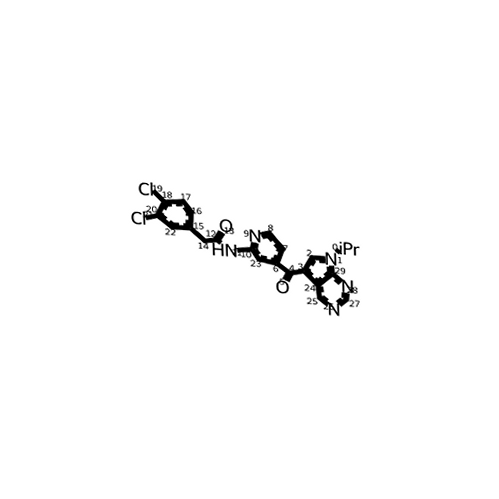 CC(C)n1cc(C(=O)c2ccnc(NC(=O)Cc3ccc(Cl)c(Cl)c3)c2)c2cncnc21